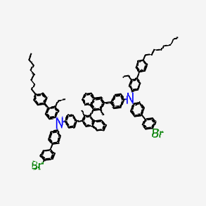 CCCCCCCCc1ccc(-c2ccc(N(c3ccc(-c4ccc(Br)cc4)cc3)c3ccc(-c4cc5ccccc5c(-c5c(C)c(-c6ccc(N(c7ccc(-c8ccc(Br)cc8)cc7)c7ccc(-c8ccc(CCCCCCCC)cc8)c(CC)c7)cc6)cc6ccccc56)c4C)cc3)cc2CC)cc1